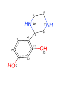 Oc1ccc(C2CNCCN2)c(O)c1